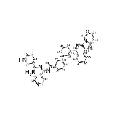 C=C(/N=C(\N=C(/N)C1=CC=CNC1)c1ccncc1)c1cccc(C2C=C(c3nc4c(nc5ccccn54)c4ccccc34)C=CC2)c1